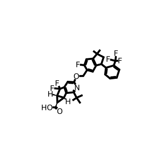 CC(C)(C)c1nc(OCc2cc3c(cc2F)C(C)(C)CC3c2ccccc2C(F)(F)F)cc2c1[C@@H]1[C@@H](C(=O)O)[C@@H]1C2(F)F